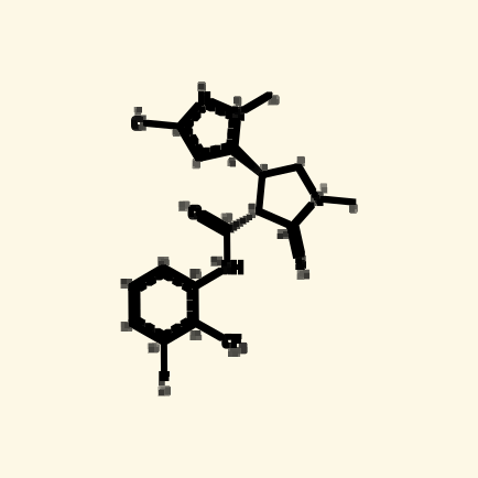 CN1C[C@H](c2cc(Cl)nn2C)[C@@H](C(=O)Nc2cccc(F)c2C(F)(F)F)C1=S